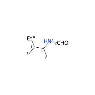 CCC(C)C(C)NC=O